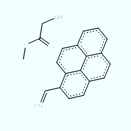 COC(=O)CN.N=Cc1ccc2ccc3cccc4ccc1c2c34